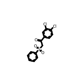 O=C(CS(=O)(=O)c1ccccc1)c1ccc(Cl)c(Cl)c1